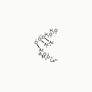 CC(=O)[O-].CC(=O)[O-].CC(=O)[O-].O.O.O.O.[La+3]